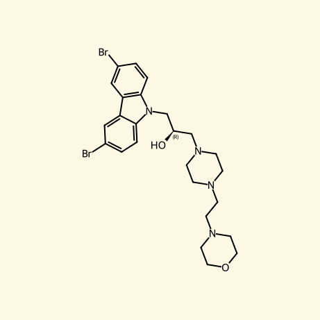 O[C@H](CN1CCN(CCN2CCOCC2)CC1)Cn1c2ccc(Br)cc2c2cc(Br)ccc21